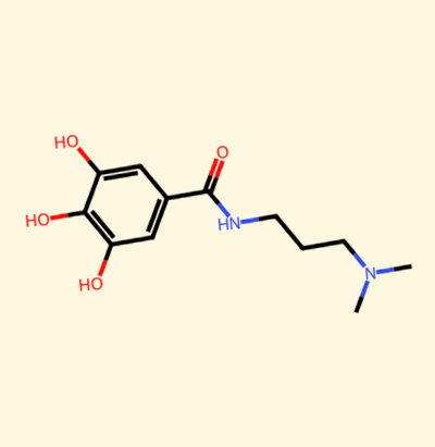 CN(C)CCCNC(=O)c1cc(O)c(O)c(O)c1